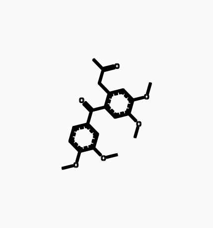 COc1ccc(C(=O)c2cc(OC)c(OC)cc2CC(C)=O)cc1OC